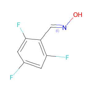 O/N=C/c1c(F)cc(F)cc1F